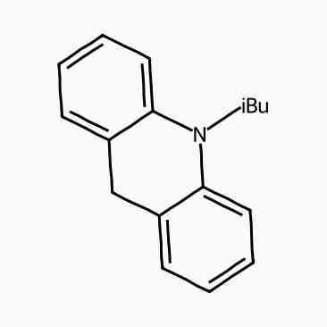 CCC(C)N1c2ccccc2Cc2ccccc21